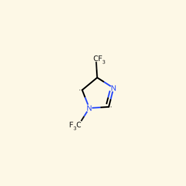 FC(F)(F)C1[CH]N(C(F)(F)F)[C]=N1